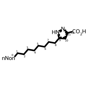 CCCCCCCCCCCCCCCCCc1cc(C(=O)O)n[nH]1